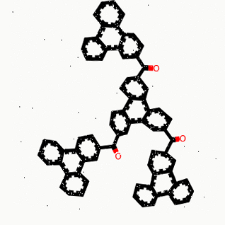 O=C(c1ccc2c3ccccc3c3ccccc3c2c1)c1ccc2c3ccc(C(=O)c4ccc5c6ccccc6c6ccccc6c5c4)cc3c3cc(C(=O)c4ccc5c6ccccc6c6ccccc6c5c4)ccc3c2c1